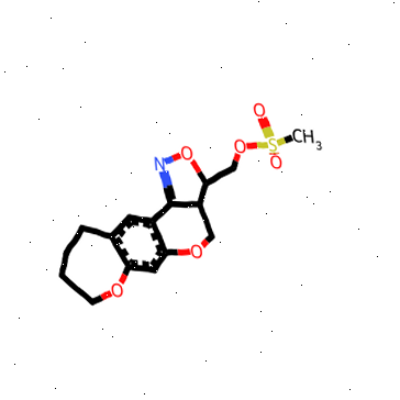 CS(=O)(=O)OCC1ON=C2c3cc4c(cc3OCC21)OCCCC4